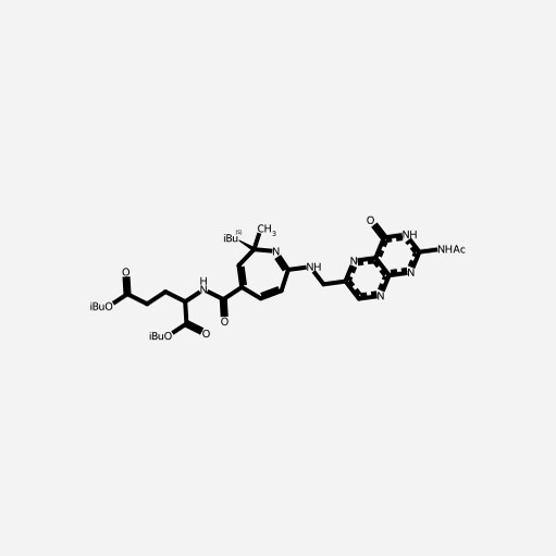 CC[C@H](C)C1(C)C=C(C(=O)NC(CCC(=O)OCC(C)C)C(=O)OCC(C)C)C=CC(NCc2cnc3nc(NC(C)=O)[nH]c(=O)c3n2)=N1